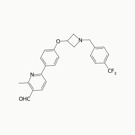 Cc1nc(-c2ccc(OC3CN(Cc4ccc(C(F)(F)F)cc4)C3)cc2)ccc1C=O